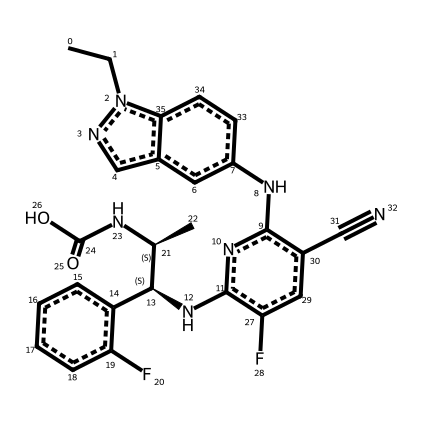 CCn1ncc2cc(Nc3nc(N[C@@H](c4ccccc4F)[C@H](C)NC(=O)O)c(F)cc3C#N)ccc21